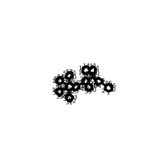 c1ccc(-c2ccc(N(c3cccc4ccccc34)c3ccc(-c4ccc5c(-c6ccccc6)c(-c6ccccc6)c(-c6ccccc6)c(-c6ccccc6)c5c4)c4ccccc34)cc2)cc1